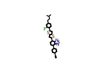 C#Cc1ccc(-c2ccc(-c3cc4sc(-c5ccc(CCC(C)C)cc5F)cc4s3)c3nsnc23)cc1